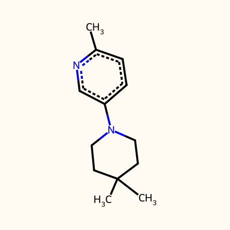 Cc1ccc(N2CCC(C)(C)CC2)cn1